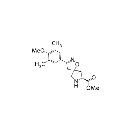 COC(=O)[C@@H]1C[C@@]2(CN1)CC(c1cc(C)c(OC)c(C)c1)=NO2